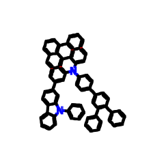 c1ccc(-c2ccc(-c3ccc(N(c4cccc(-c5ccc6c7ccccc7n(-c7ccccc7)c6c5)c4)c4ccccc4-c4cccc5cccc(-c6ccccc6)c45)cc3)cc2-c2ccccc2)cc1